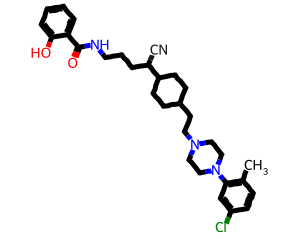 Cc1ccc(Cl)cc1N1CCN(CCC2CCC(C(C#N)CCCNC(=O)c3ccccc3O)CC2)CC1